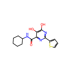 O=C(NC1CCCCC1)c1nc(-c2cccs2)nc(O)c1O